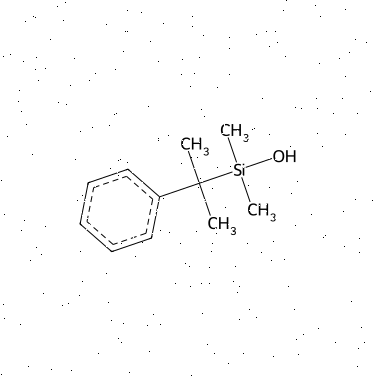 CC(C)(c1ccccc1)[Si](C)(C)O